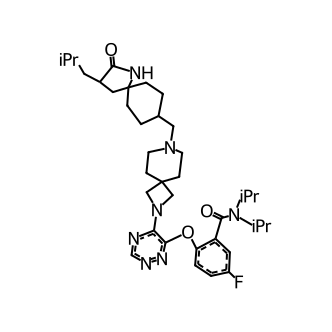 CC(C)CC1CC2(CCC(CN3CCC4(CC3)CN(c3ncnnc3Oc3ccc(F)cc3C(=O)N(C(C)C)C(C)C)C4)CC2)NC1=O